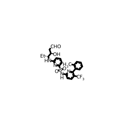 CC[C@@H](Nc1cccc(S(=O)(=O)Nc2ccc(C(F)(F)F)c(-c3ccccc3C)n2)n1)[C@H](O)CC=O